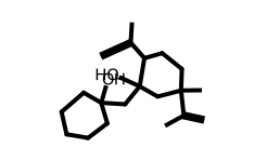 C=C(C)C1CCC(C)(C(=C)C)CC1(O)CC1(O)CCCCC1